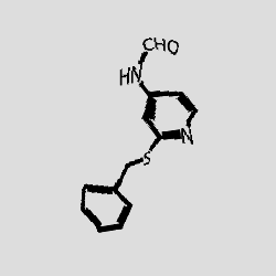 O=CNc1ccnc(SCc2ccccc2)c1